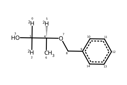 [2H]C([2H])(O)[C@]([2H])(C)OCc1ccccc1